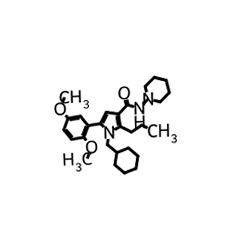 CCCc1c(C(=O)NN2CCCCC2)cc(-c2cc(OC)ccc2OC)n1CC1CCCCC1